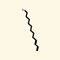 C=CC=CCCCCCCCCC(C)=O